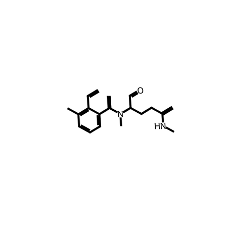 C=Cc1c(C)cccc1C(=C)N(C)C(C=O)CCC(=C)NC